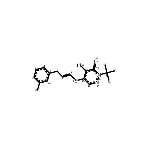 Cc1cccc(CC=CSc2cnn(C(C)(C)C)c(=O)c2Cl)c1